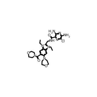 CCn1c(CNC(=O)c2nc(Cl)c(N)nc2N)[n+](CC)c2cc(C(=O)N3CCOCC3)c(N3CCOCC3)cc21